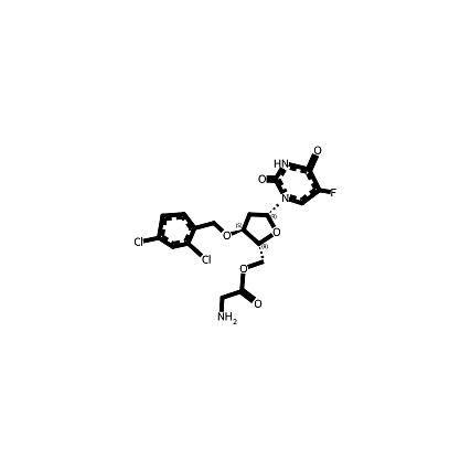 NCC(=O)OC[C@H]1O[C@@H](n2cc(F)c(=O)[nH]c2=O)C[C@@H]1OCc1ccc(Cl)cc1Cl